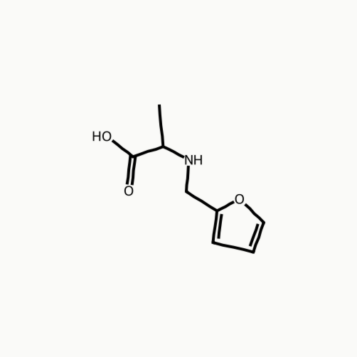 CC(NCc1ccco1)C(=O)O